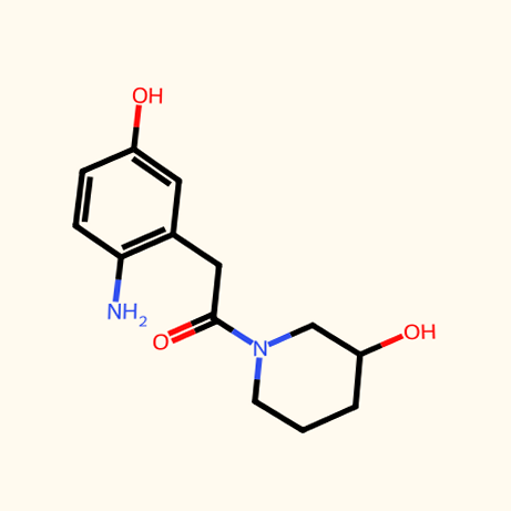 Nc1ccc(O)cc1CC(=O)N1CCCC(O)C1